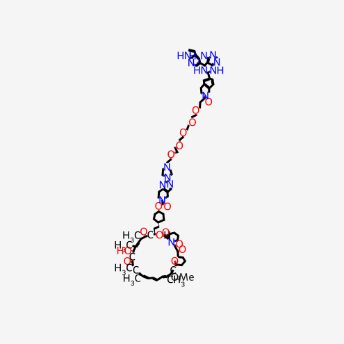 CO[C@H]1CC2CCCC(O2)C(=O)C(=O)N2CCCC[C@H]2C(=O)O[C@H](CC[C@H]2CC[C@H](OC(=O)N3CCc4nc(N5CCN(CCOCCOCCOCCOCCOCCC(=O)N6CCc7cc(CNc8ncnc(N)c8C(=N)c8cnc9[nH]ccc9c8)ccc7C6)CC5)ncc4C3)CC2)CC(=O)[C@H](C)/C=C(\C)[C@@H](O)CC(=O)[C@H](C)C[C@H](C)/C=C/C=C/C=C/1C